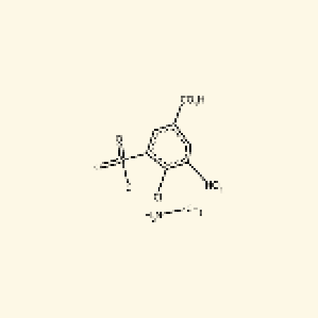 CN.O=C(O)c1cc([N+](=O)[O-])c(Cl)c(S(=O)(=O)Cl)c1